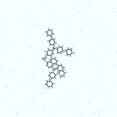 C1=C2c3ccc(N(c4ccc(-c5ccccc5)cc4)c4cccc5ccccc45)c4cccc(c34)-c3cc(N(c4ccc(-c5ccccc5)cc4)c4ccc(-c5ccccc5)cc4)ccc3C12